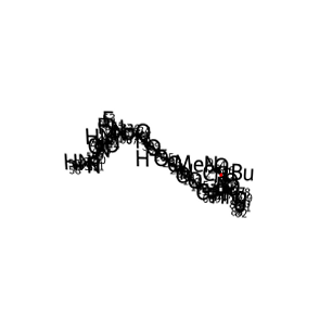 CN[C@@H](C)C(=O)N[C@H](C(=O)N1Cc2cc(OCCOCCOCCOCCOCCOCCNC(=O)c3ccc(-n4cc(NC(=O)c5coc(-c6ccnc(NCC7CC7)c6)n5)c(C(F)F)n4)cc3)ccc2C[C@H]1C(=O)N[C@@H]1CCCc2ccccc21)C(C)(C)C